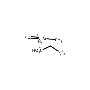 C=O.CC(C)=O.NCC(=O)O